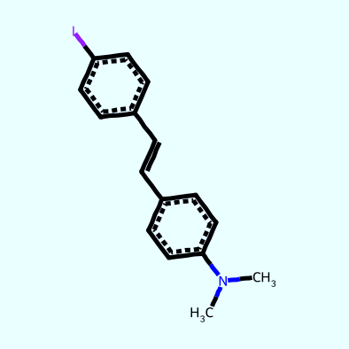 CN(C)c1ccc(/C=C/c2ccc(I)cc2)cc1